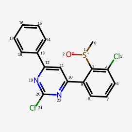 C[S+]([O-])c1c(Cl)cccc1-c1cc(-c2ccccc2)nc(Cl)n1